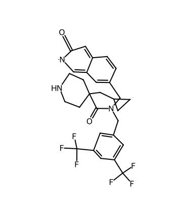 O=C1C=c2ccc(CN(Cc3cc(C(F)(F)F)cc(C(F)(F)F)c3)C(=O)C3(CC4CC4)CCNCC3)cc2=C[N]1